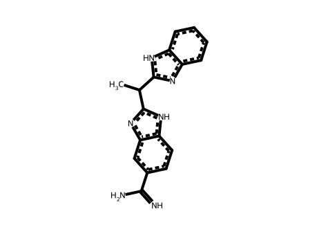 CC(c1nc2ccccc2[nH]1)c1nc2cc(C(=N)N)ccc2[nH]1